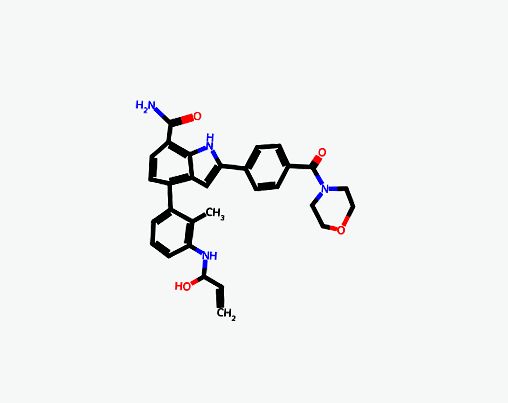 C=CC(O)Nc1cccc(-c2ccc(C(N)=O)c3[nH]c(-c4ccc(C(=O)N5CCOCC5)cc4)cc23)c1C